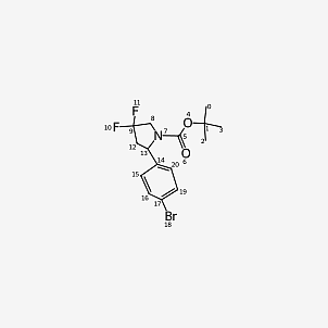 CC(C)(C)OC(=O)N1CC(F)(F)CC1c1ccc(Br)cc1